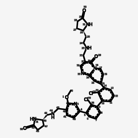 COc1nc(-c2cccc(-c3cccc(-c4ccn5c(=O)c(CNCC[C@@H]6CCC(=O)N6)cnc5c4)c3Cl)c2Cl)ccc1CNC[C@@H]1CCC(=O)N1